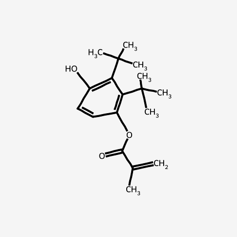 C=C(C)C(=O)Oc1ccc(O)c(C(C)(C)C)c1C(C)(C)C